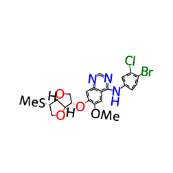 COc1cc2c(Nc3ccc(Br)c(Cl)c3)ncnc2cc1O[C@H]1CO[C@H]2[C@@H]1OC[C@@H]2SC